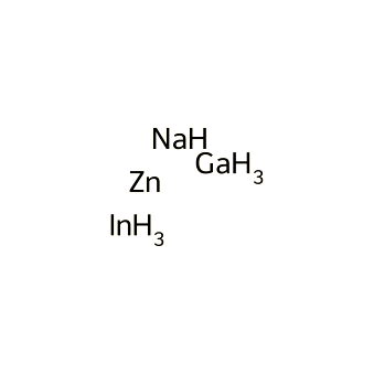 [GaH3].[InH3].[NaH].[Zn]